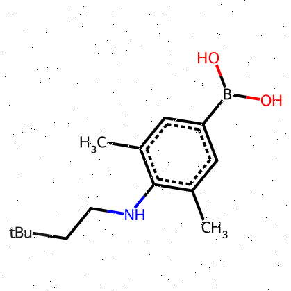 Cc1cc(B(O)O)cc(C)c1NCCC(C)(C)C